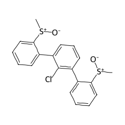 C[S+]([O-])c1ccccc1-c1cccc(-c2ccccc2[S+](C)[O-])c1Cl